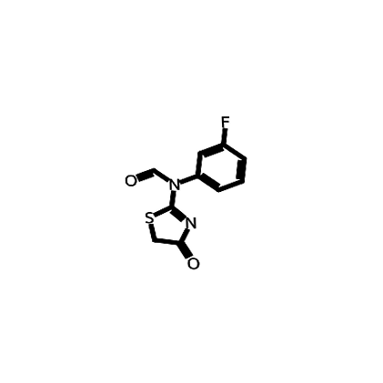 O=CN(C1=NC(=O)CS1)c1cccc(F)c1